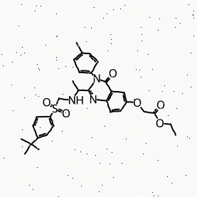 CCOC(=O)COc1ccc2nc(C(C)NCS(=O)(=O)c3ccc(C(C)(C)C)cc3)n(-c3ccc(C)cc3)c(=O)c2c1